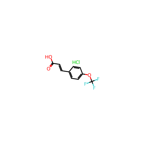 Cl.O=C(O)C=Cc1ccc(OC(F)(F)F)cc1